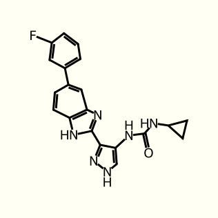 O=C(Nc1c[nH]nc1-c1nc2cc(-c3cccc(F)c3)ccc2[nH]1)NC1CC1